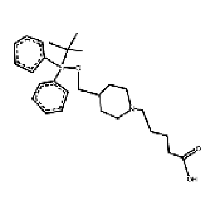 CC(C)(C)[Si](OCC1CCN(CCCCC(=O)O)CC1)(c1ccccc1)c1ccccc1